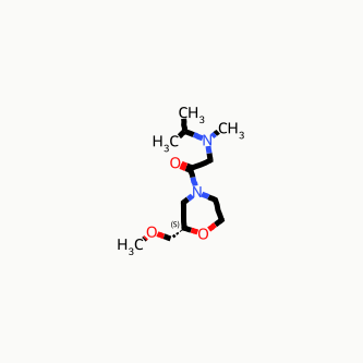 COC[C@@H]1CN(C(=O)CN(C)C(C)C)CCO1